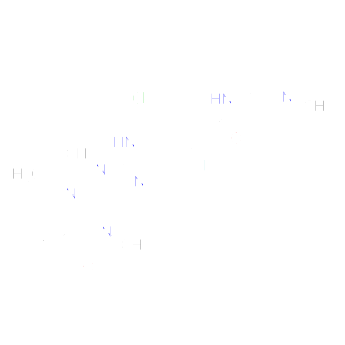 CC(C)N1CC2(CC2)C(=O)N(C)c2cnc(Nc3cc(F)c(C(=O)N[C@@H]4CCN(C)C4)cc3Cl)nc21